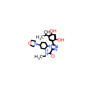 CCNC(=O)c1nnc(-c2cc(C(C)C)c(O)cc2O)n1C1CCC(N2CCOCC2)CC1